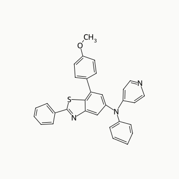 COc1ccc(-c2cc(N(c3ccccc3)c3ccncc3)cc3nc(-c4ccccc4)sc23)cc1